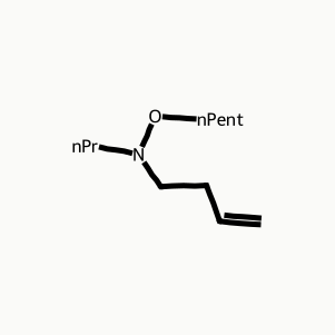 C=CCCN(CCC)OCCCCC